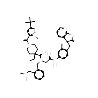 CCC1(C(=O)N(CC(=O)Nc2ccc3c(c2)C[C@@]2(C3)C(=O)Nc3ncccc32)Cc2ccccc2CNC)CCN(C(=O)c2cc(C(C)(C)C)nn2C)CC1